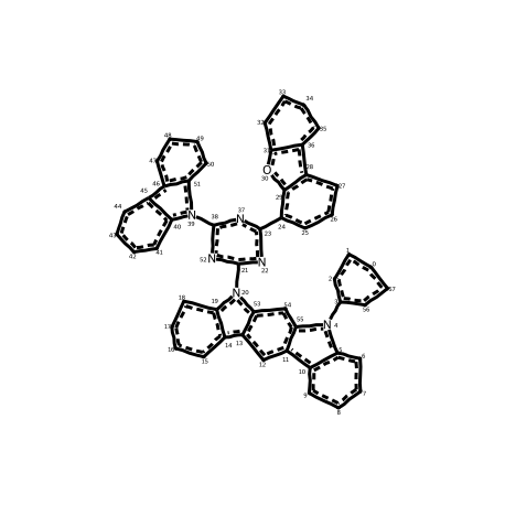 c1ccc(-n2c3ccccc3c3cc4c5ccccc5n(-c5nc(-c6cccc7c6oc6ccccc67)nc(-n6c7ccccc7c7ccccc76)n5)c4cc32)cc1